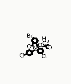 CC1(COC2(c3ccc(Cl)cc3)c3ccc(Br)cc3C(=O)N2Cc2ccc(Cl)cc2)COC1